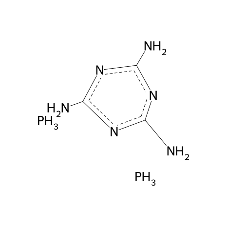 Nc1nc(N)nc(N)n1.P.P